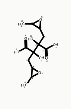 CC1OC1CC(O)(C(=O)O)C(O)(CC1OC1C)C(=O)O